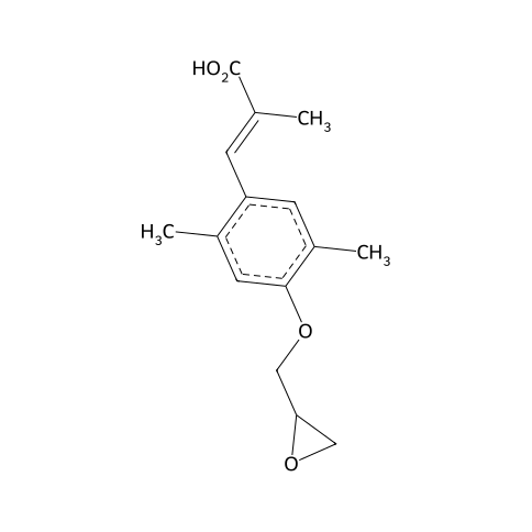 CC(=Cc1cc(C)c(OCC2CO2)cc1C)C(=O)O